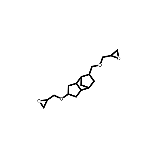 C(OCC1CC2CC1C1CC(OCC3CO3)CC21)C1CO1